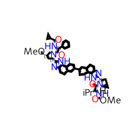 COC[C@H]1C[C@@H](c2nc3ccc4cc(-c5ccc6c(ccc7nc([C@@H]8CC9C[C@H]9N8C(=O)[C@@H](NC(=O)OC)C(C)C)[nH]c76)c5)ccc4c3[nH]2)N(C(=O)[C@H](NC(=O)C2CC2)c2ccccc2)C1